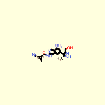 Cc1[nH]nc(CO)c1-c1cc(N)c2cnc(NC(=O)[C@H]3C[C@@H]3C#N)cc2c1